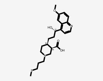 COc1ccc2nccc([C@@H](O)CC[C@@H]3CCN(CCCSC)C[C@@H]3C(=O)O)c2c1